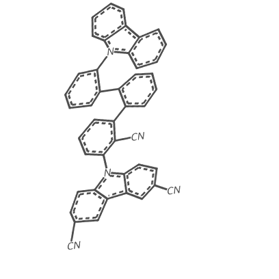 N#Cc1ccc2c(c1)c1cc(C#N)ccc1n2-c1cccc(-c2ccccc2-c2ccccc2-n2c3ccccc3c3ccccc32)c1C#N